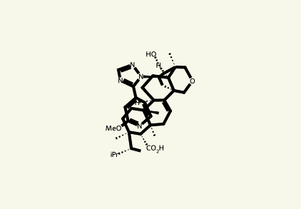 COc1cc(-c2ncnn2[C@@H]2C[C@@]34COC[C@@](C)([C@@H]3CC[C@H]3C4=CC[C@@]4(C)[C@H](C(=O)O)[C@@](C)([C@H](C)C(C)C)CC[C@]34C)[C@H]2O)ccn1